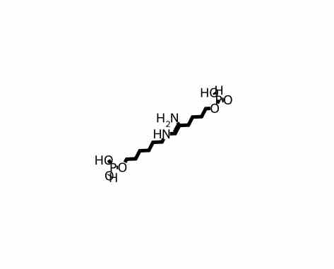 N/C(=C\NCCCCCCO[PH](=O)O)CCCCO[PH](=O)O